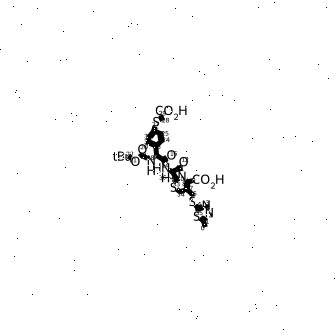 Cc1nnc(SCC2=C(C(=O)O)N3C(=O)C(NC(=O)C(NC(=O)OC(C)(C)C)c4ccc(SCC(=O)O)cc4)[C@@H]3SC2)s1